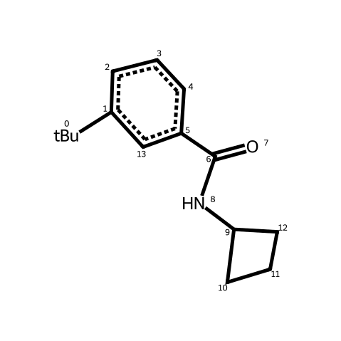 CC(C)(C)c1cccc(C(=O)NC2CCC2)c1